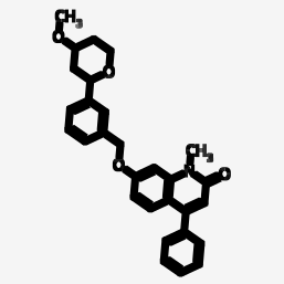 COC1CCOC(c2cccc(COc3ccc4c(-c5ccccc5)cc(=O)n(C)c4c3)c2)C1